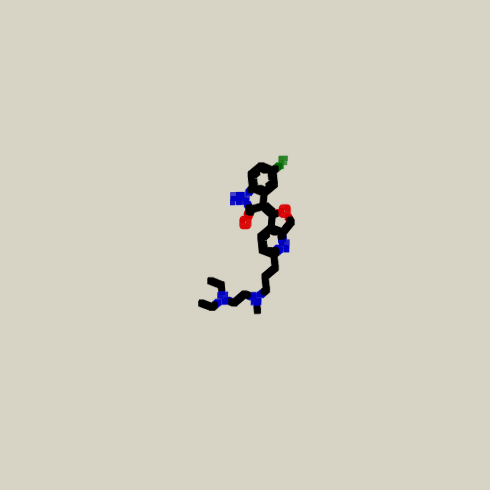 CCN(CC)CCN(C)CCCc1ccc2c(n1)COC2=C1C(=O)Nc2ccc(F)cc21